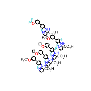 O=C(O)c1cccnc1Nc1c(F)cc(-c2cccc(OC(F)(F)F)c2)cc1F.O=C(O)c1cccnc1Nc1c(F)cc(-c2cccc(OC3CCC3)c2)cc1F.O=C(O)c1cccnc1Nc1ccc(-c2cccc(OC(F)F)c2)cc1F.O=C(O)c1cccnc1Nc1ccc(-c2cccc(OC3CCC3)c2)cc1F.O=C(O)c1cccnc1Nc1ccc(-c2cccc(OCC(F)(F)F)c2)cc1F